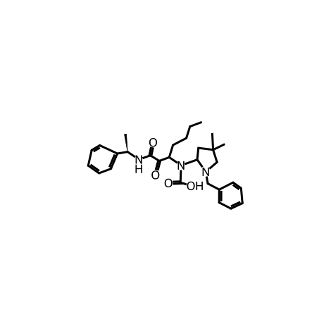 CCCCC(C(=O)C(=O)N[C@H](C)c1ccccc1)N(C(=O)O)C1CC(C)(C)CN1Cc1ccccc1